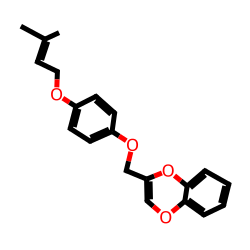 CC(C)=CCOc1ccc(OCC2=COc3ccccc3O2)cc1